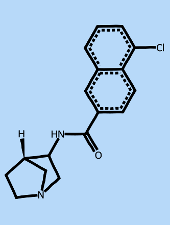 O=C(NC1CN2CC[C@H]1C2)c1ccc2c(Cl)cccc2c1